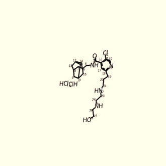 Cl.Cl.O=C(NCC12CC3CC(CC(C3)C1)C2)c1cc(CCCNCCNCCO)ncc1Cl